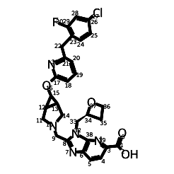 O=C(O)c1ccc2nc(CN3CC4C(C3)C4Oc3cccc(Cc4ccc(Cl)cc4F)n3)n(C[C@@H]3CCO3)c2n1